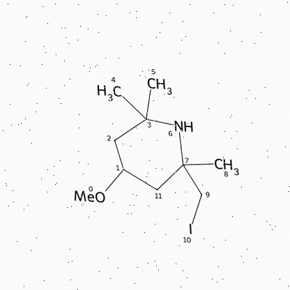 COC1CC(C)(C)NC(C)(CI)C1